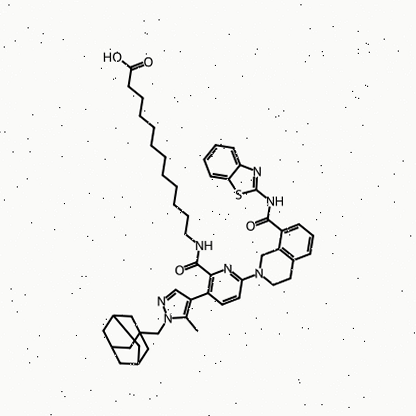 Cc1c(-c2ccc(N3CCc4cccc(C(=O)Nc5nc6ccccc6s5)c4C3)nc2C(=O)NCCCCCCCCCCCC(=O)O)cnn1CC12CC3CC(CC(C3)C1)C2